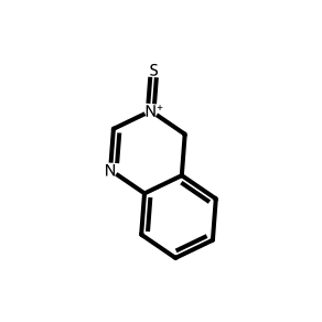 S=[N+]1C=Nc2ccccc2C1